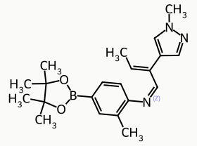 CC=C(/C=N\c1ccc(B2OC(C)(C)C(C)(C)O2)cc1C)c1cnn(C)c1